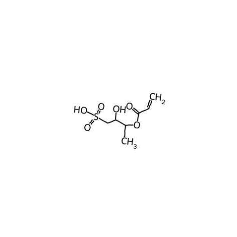 C=CC(=O)OC(C)C(O)CS(=O)(=O)O